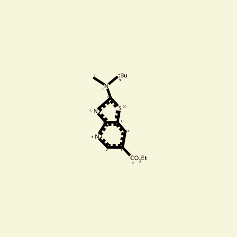 CCOC(=O)c1cnc2nc(N(C)C(C)(C)C)sc2c1